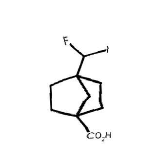 O=C(O)C12CCC(C(F)I)(CC1)C2